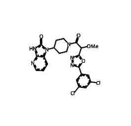 COC(C(=O)N1CCC(n2c(=O)[nH]c3ncccc32)CC1)c1nnc(-c2cc(Cl)cc(Cl)c2)o1